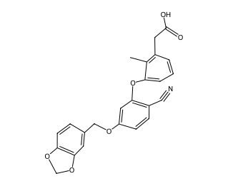 Cc1c(CC(=O)O)cccc1Oc1cc(OCc2ccc3c(c2)OCO3)ccc1C#N